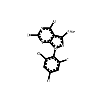 CCc1nc(Cl)c2c(SC)nn(-c3c(Cl)cc(Cl)cc3Cl)c2n1